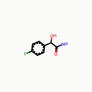 [NH]C(=O)C(O)c1ccc(F)cc1